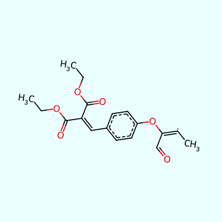 C[C]=C(C=O)Oc1ccc(C=C(C(=O)OCC)C(=O)OCC)cc1